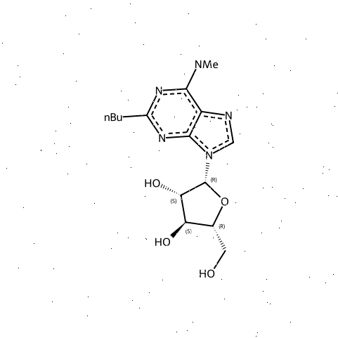 CCCCc1nc(NC)c2ncn([C@@H]3O[C@H](CO)[C@@H](O)[C@@H]3O)c2n1